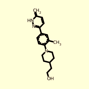 C=C1C=CC(c2ccc(N3CCC(CCO)CC3)c(C)c2)=NN1